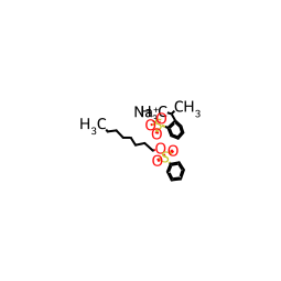 CC(C)c1ccccc1S(=O)(=O)[O-].CCCCCCCCOS(=O)(=O)c1ccccc1.[Na+]